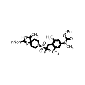 C=C1NC(CCCCCCCCC)=NC12CCN(S(=O)(=O)C(F)(F)Cc1c(C)cc(N(C)C(=O)OC(C)(C)C)cc1C)CC2